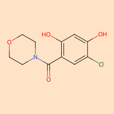 O=C(c1cc(Cl)c(O)cc1O)N1CCOCC1